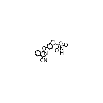 N#Cc1cnc(Oc2ccc3c(c2)CC[C@H]3[C@H]2OC(=O)NC2=O)c2ccccc12